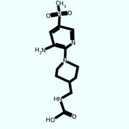 CS(=O)(=O)c1cnc(N2CCC(CNC(=O)O)CC2)c(N)c1